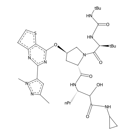 CCC[C@H](NC(=O)[C@@H]1C[C@@H](Oc2nc(-c3cc(C)nn3C)nc3ccsc23)CN1C(=O)[C@@H](NC(=O)NC(C)(C)C)C(C)(C)C)C(O)C(=O)NC1CC1